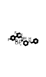 COc1cc(F)ccc1-c1cc(NC(=O)[C@H]2CCC[C@@H](NCc3ccccc3)C2)ncc1F